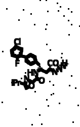 CC(C)c1coc(C(=O)N[C@H](Cc2ccc(-c3cc(Cl)ccc3F)cc2)C[C@@H](N=[N+]=[N-])C(=O)O)n1